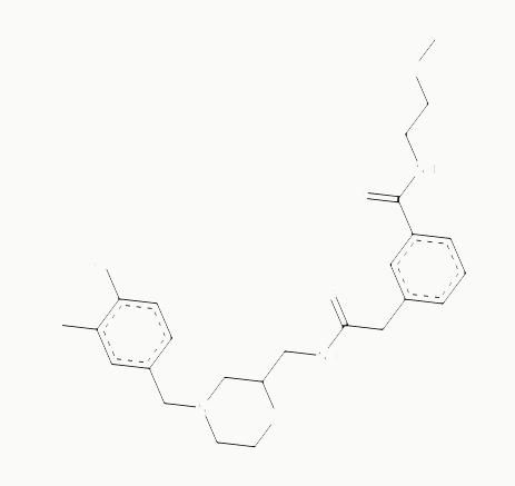 COCCNC(=O)c1cccc(CC(=O)NCC2CN(Cc3ccc(Cl)c(Cl)c3)CCO2)c1